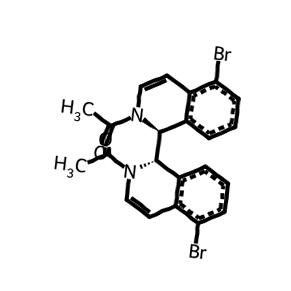 CC(=O)N1C=Cc2c(Br)cccc2[C@H]1[C@@H]1c2cccc(Br)c2C=CN1C(C)=O